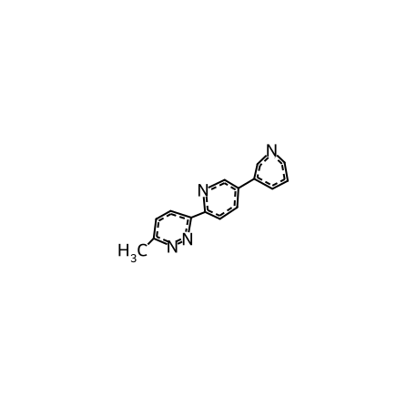 Cc1ccc(-c2ccc(-c3cccnc3)cn2)nn1